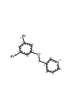 CC(C)c1[c]c(C(C)C)cc(OCc2cccnc2)c1